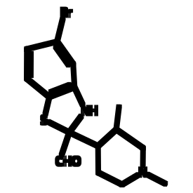 CC1CN(C)CCC1C1(C=O)Nc2cc(Br)ccc2S1